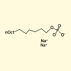 CCCCCCCCCCCCCCOP(=O)([O-])[O-].[Na+].[Na+]